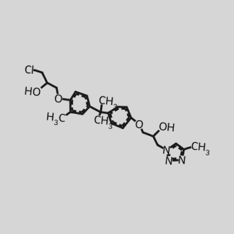 Cc1cn(CC(O)COc2ccc(C(C)(C)c3ccc(OCC(O)CCl)c(C)c3)cc2)nn1